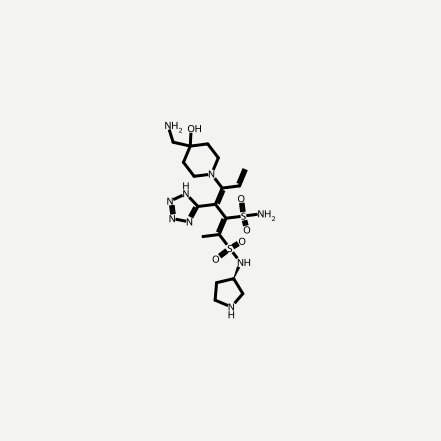 C=C/C(=C(\C(=C(/C)S(=O)(=O)N[C@@H]1CCNC1)S(N)(=O)=O)c1nnn[nH]1)N1CCC(O)(CN)CC1